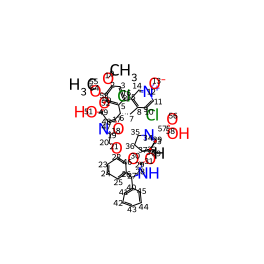 COc1ccc([C@H](Cc2c(Cl)c[n+]([O-])cc2Cl)c2oc(COc3cccc([C@@H](NC(=O)O[C@H]4CN5CCC4CC5)c4ccccc4)c3)nc2C(=O)O)cc1OC.O=CO